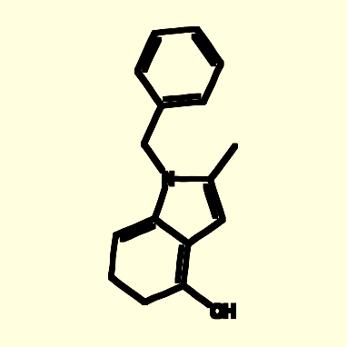 Cc1cc2c(n1Cc1ccccc1)=CCCC=2O